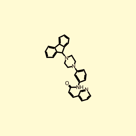 O=C(/C=C\c1cccnc1)Nc1cccc(N2CCN(C3c4ccccc4-c4ccccc43)CC2)c1